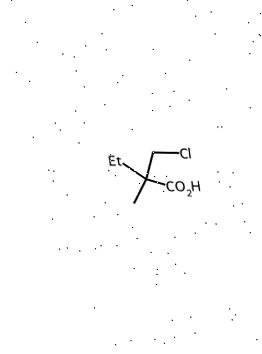 CCC(C)(CCl)C(=O)O